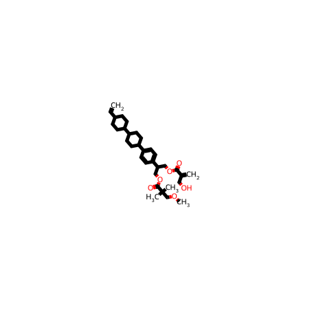 C=CC1CCC(C2CCC(c3ccc(C(COC(=O)C(=C)CO)COC(=O)C(C)(C)COC)cc3)CC2)CC1